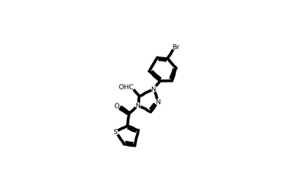 O=CC1N(C(=O)c2cccs2)C=NN1c1ccc(Br)cc1